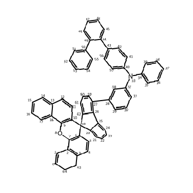 C1=Cc2c(ccc3c2Oc2c(ccc4ccccc24)C32c3ccccc3-c3c(-c4cccc(N(c5ccccc5)c5ccc(-c6ccccc6-c6ccccc6)cc5)c4)cccc32)CC1